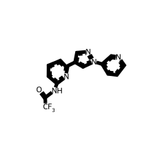 O=C(Nc1cccc(-c2cnn(-c3cccnc3)c2)n1)C(F)(F)F